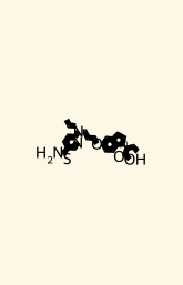 CCCN(CCCOc1ccc2c(c1)CC[C@H]2C(CC)C(=O)O)c1ccc(C(N)=S)cn1